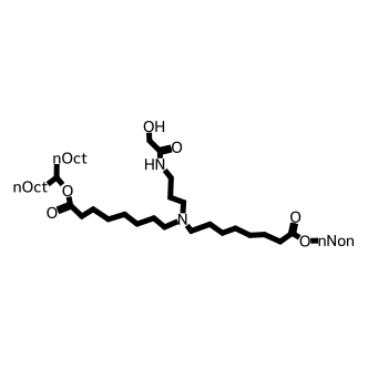 CCCCCCCCCOC(=O)CCCCCCCN(CCCCCCCC(=O)OC(CCCCCCCC)CCCCCCCC)CCCNC(=O)CO